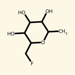 CC1OC(CF)C(O)C(O)C1O